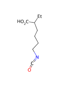 CCC(CCCCN=C=O)C(=O)O